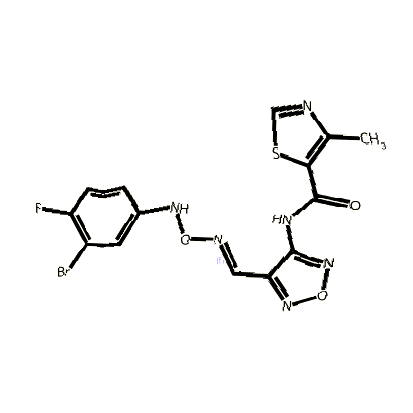 Cc1ncsc1C(=O)Nc1nonc1/C=N/ONc1ccc(F)c(Br)c1